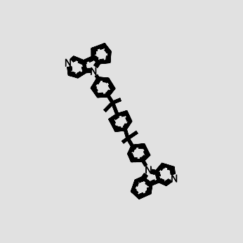 CC(C)(c1ccc(-n2c3ccccc3c3cnccc32)cc1)c1ccc(C(C)(C)c2ccc(-n3c4ccccc4c4cnccc43)cc2)cc1